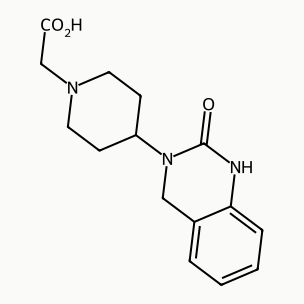 O=C(O)CN1CCC(N2Cc3ccccc3NC2=O)CC1